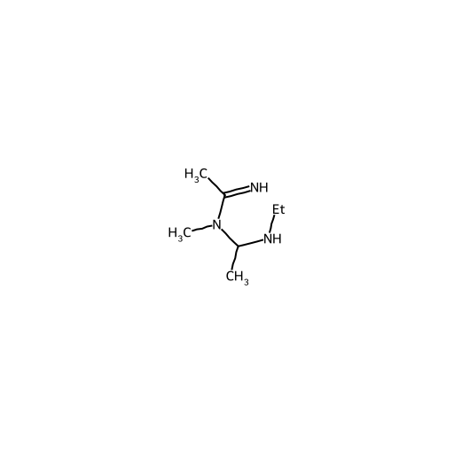 CCNC(C)N(C)C(C)=N